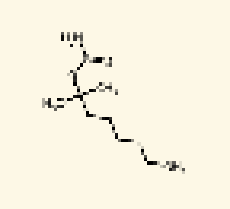 CC(C)(CCCCCN)OC(N)=O